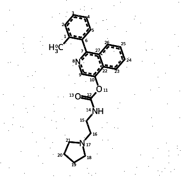 Cc1ccccc1-c1ncc(OC(=O)NCCN2CCCC2)c2ccccc12